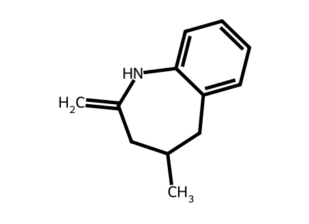 C=C1CC(C)Cc2ccccc2N1